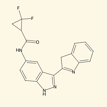 O=C(Nc1ccc2[nH]nc(C3=Nc4ccccc4C3)c2c1)C1CC1(F)F